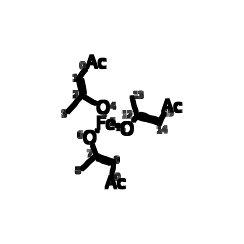 CC(=O)C=C(C)[O][Fe]([O]C(C)=CC(C)=O)[O]C(C)=CC(C)=O